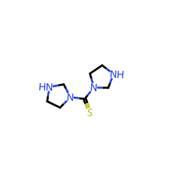 S=C(N1CCNC1)N1CCNC1